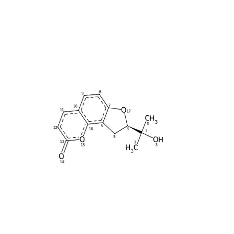 CC(C)(O)[C@H]1Cc2c(ccc3ccc(=O)oc23)O1